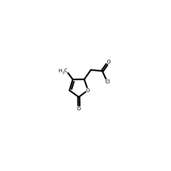 CC1=CC(=O)OC1CC(=O)Cl